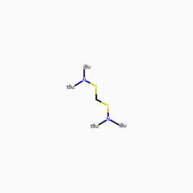 CCC(C)N(SCSN(C(C)CC)C(C)(C)C)C(C)(C)C